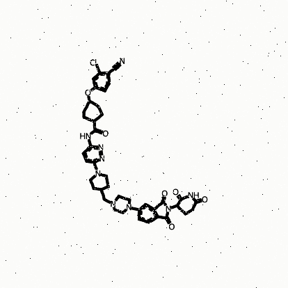 N#Cc1ccc(OC2CCC(C(=O)Nc3ccc(N4CCC(CN5CCN(c6ccc7c(c6)C(=O)N(C6CCC(=O)NC6=O)C7=O)CC5)CC4)nn3)CC2)cc1Cl